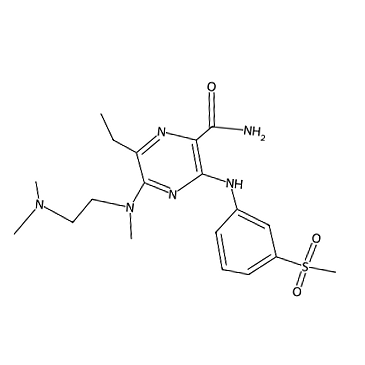 CCc1nc(C(N)=O)c(Nc2cccc(S(C)(=O)=O)c2)nc1N(C)CCN(C)C